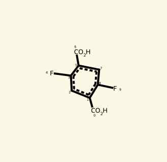 O=C(O)c1cc(F)c(C(=O)O)cc1F